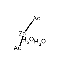 C[C](=O)[Zn][C](C)=O.O.O